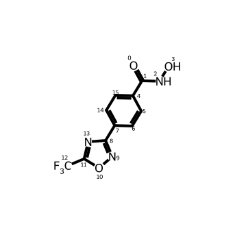 O=C(NO)c1ccc(-c2noc(C(F)(F)F)n2)cc1